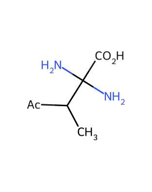 CC(=O)C(C)C(N)(N)C(=O)O